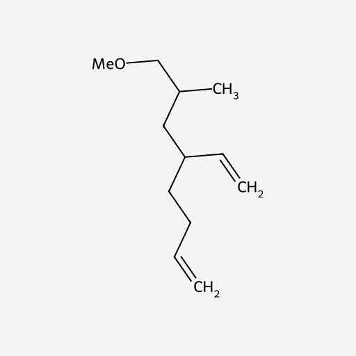 C=CCCC(C=C)CC(C)COC